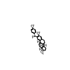 COc1ccc(I(F)c2cc3c(cc2OC)CC[C@H]2[C@@H]4CC[C@H](OC)[C@H]4CC[C@H]32)cc1